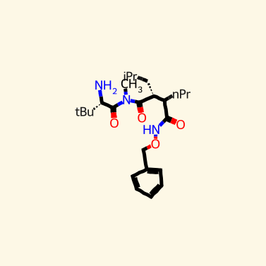 CCCC(C(=O)NOCc1ccccc1)[C@@H](CC(C)C)C(=O)N(C)C(=O)[C@@H](N)C(C)(C)C